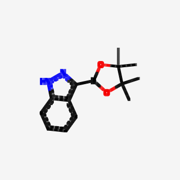 CC1(C)OB(c2n[nH]c3ccccc23)OC1(C)C